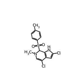 Cc1ccc(S(=O)(=O)C2c3[nH]c(Cl)cc3C(Cl)=CN2C)cc1